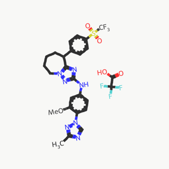 COc1cc(Nc2nc3n(n2)CCCCC3c2ccc(S(=O)(=O)C(F)(F)F)cc2)ccc1-n1cnc(C)n1.O=C(O)C(F)(F)F